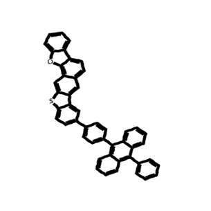 c1ccc(-c2c3ccccc3c(-c3ccc(-c4ccc5sc6cc7c(ccc8c9ccccc9oc78)cc6c5c4)cc3)c3ccccc23)cc1